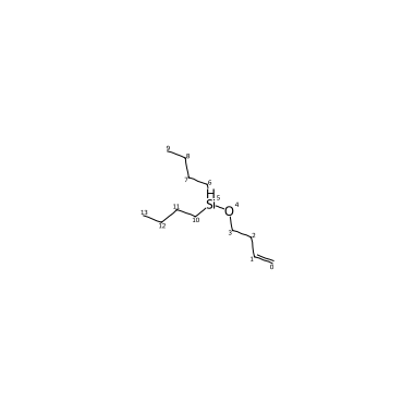 C=CCCO[SiH](CCCC)CCCC